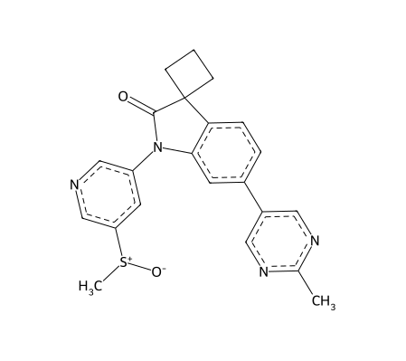 Cc1ncc(-c2ccc3c(c2)N(c2cncc([S+](C)[O-])c2)C(=O)C32CCC2)cn1